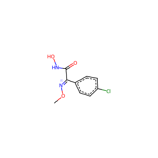 CO/N=C(/C(=O)NO)c1ccc(Cl)cc1